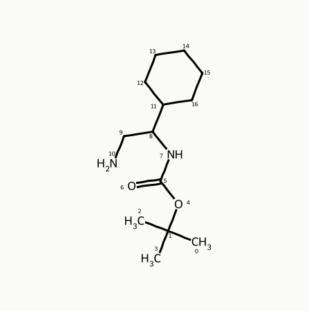 CC(C)(C)OC(=O)NC(CN)C1CCCCC1